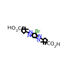 Cn1c(C2CCC(C)(C(=O)O)C2(C)C)nc2c(Br)c3nc(C4CCC(C)(C(=O)O)C4(C)C)n(C)c3cc21